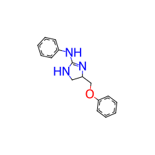 c1ccc(NC2=NC(COc3ccccc3)CN2)cc1